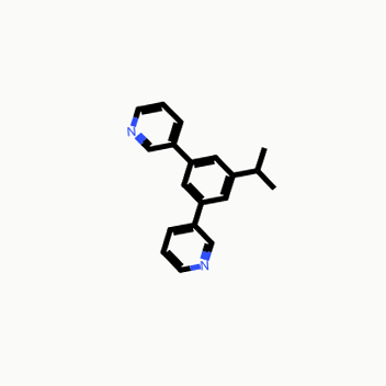 CC(C)c1cc(-c2cccnc2)cc(-c2cccnc2)c1